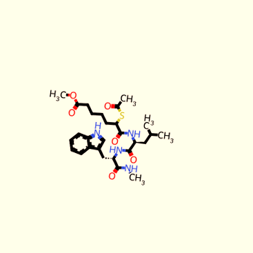 CNC(=O)[C@H](Cc1c[nH]c2ccccc12)NC(=O)[C@H](CC(C)C)NC(=O)C(CCCCC(=O)OC)SC(C)=O